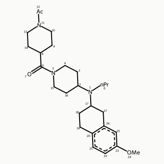 CCCN(C1CCN(C(=O)C2CCN(C(C)=O)CC2)CC1)C1CCc2ccc(OC)cc2C1